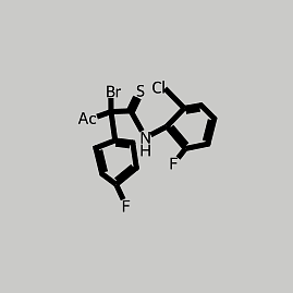 CC(=O)C(Br)(C(=S)Nc1c(F)cccc1Cl)c1ccc(F)cc1